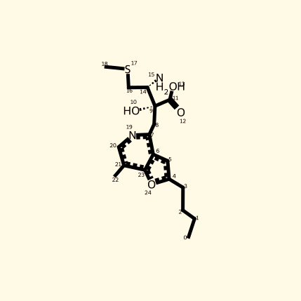 CCCCc1cc2c(C[C@](O)(C(=O)O)[C@@H](N)CSC)ncc(C)c2o1